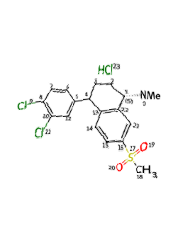 CN[C@H]1CCC(c2ccc(Cl)c(Cl)c2)c2ccc(S(C)(=O)=O)cc21.Cl